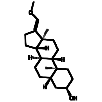 COC=C1CC[C@H]2[C@@H]3CC[C@H]4C[C@H](O)CC[C@]4(C)[C@H]3CC[C@]12C